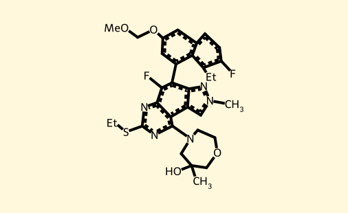 CCSc1nc(N2CCOCC(C)(O)C2)c2c(n1)c(F)c(-c1cc(OCOC)cc3ccc(F)c(CC)c13)c1nn(C)cc12